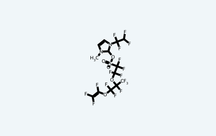 CN1C=CN(C(F)(F)C(F)F)C1OS(=O)(=O)C(F)(F)C(F)(F)OC(F)(C(F)(F)F)C(F)(F)OC(F)=C(F)F